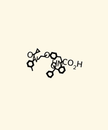 Cc1cccc(N(CCCOc2ccc(C[C@H](Nc3ccccc3C(=O)c3ccccc3)C(=O)O)cc2)C(=O)C2CC2)c1